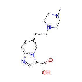 CN1CCN(CCc2ccc3ncc(C(=O)O)n3c2)CC1